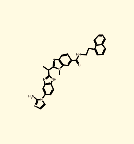 CC(c1nc2cc(-n3ccnc3N)ccc2[nH]1)c1nc2ccc(C(=O)NCCc3cccc4ccccc34)cc2n1C